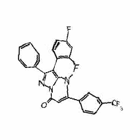 Cn1c(-c2ccc(C(F)(F)F)cc2)cc(=O)n2nc(-c3ccccc3)c(-c3ccc(F)cc3F)c12